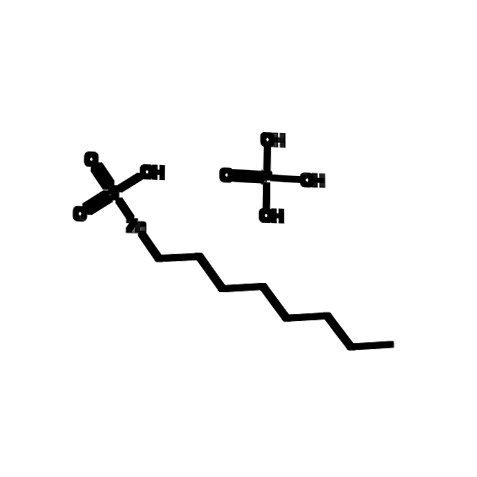 CCCCCCC[CH2][Zn][S](=O)(=O)O.O=P(O)(O)O